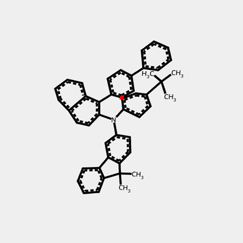 CC(C)(C)c1ccc(N(c2ccc3c(c2)-c2ccccc2C3(C)C)c2ccc3ccccc3c2-c2ccc(-c3ccccc3)cc2)cc1